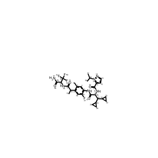 Cc1cc(NC(=O)[C@@H](NC(=O)c2ccnn2C(C)C)C(C2CC2)C2CC2)c(F)cc1C(C)C(=O)NC(C(N)=O)C(F)(F)F